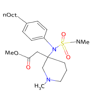 CCCCCCCCc1ccc(N(C2(CC(=O)OC)CCCN(C)C2)S(=O)(=O)NC)cc1